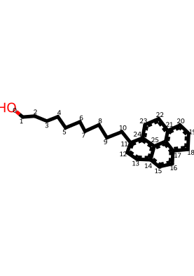 OCCCCCCCCCCc1ccc2ccc3cccc4ccc1c2c34